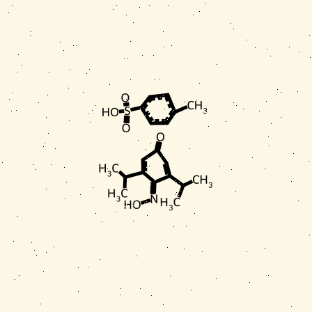 CC(C)C1=CC(=O)C=C(C(C)C)C1=NO.Cc1ccc(S(=O)(=O)O)cc1